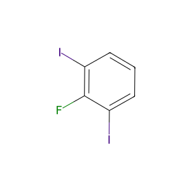 Fc1c(I)cccc1I